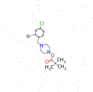 CC(C)(C)C(=O)ON1CCN(Cc2ccc(Cl)cc2Br)CC1